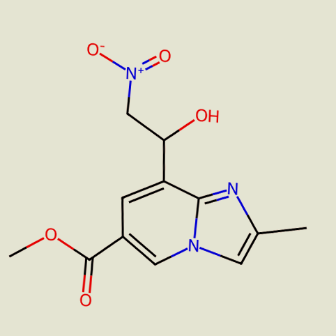 COC(=O)c1cc(C(O)C[N+](=O)[O-])c2nc(C)cn2c1